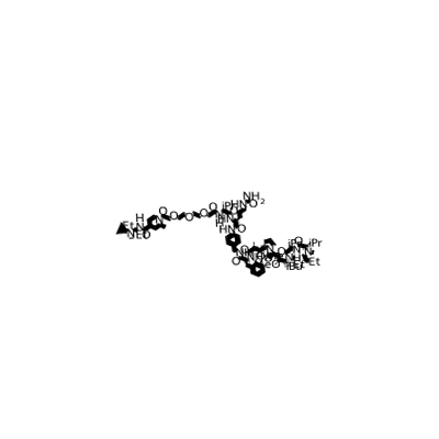 CCC(CC)CN(C)[C@H](C(=O)N[C@H](C(=O)N(C)[C@@H]([C@@H](C)CC)[C@@H](CC(=O)N1CCC[C@H]1[C@H](OC)[C@@H](C)C(=O)N[C@@H](Cc1ccccc1)C(=O)NCc1ccc(NC(=O)[C@H](CCCNC(N)=O)NC(=O)[C@@H](NC(=O)COCCOCCOCC(=O)N2CCC(C(=O)NC(CC)(CC)N(C)C3CC3)CC2C)C(C)C)cc1)OC)C(C)C)C(C)C